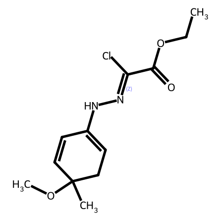 CCOC(=O)/C(Cl)=N/NC1=CCC(C)(OC)C=C1